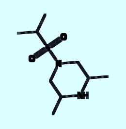 CC1CN(S(=O)(=O)C(C)C)CC(C)N1